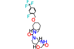 O=C1CO[C@H]2CCN(C(=O)N3CC4CC[C@@H](OCc5ccc(C(F)(F)F)cc5F)C[C@@H]3C4)C[C@H]2N1